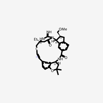 CC[C@]12CC/C=C\c3ccc4c(c3)[C@H](CC(C)(C)O4)NC(=O)c3ccc4c(c3)[C@@H]([C@@H](COC)C4)N(C(=N)N1)C(=O)C2